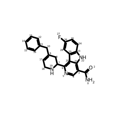 NC(=O)c1cnc(C2CC(Cc3ccccc3)=CCN2)c2c1[nH]c1ccc(F)cc12